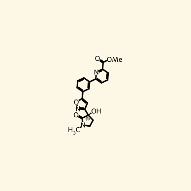 COC(=O)c1cccc(-c2cccc(-c3cc([C@]4(O)CCN(C)C4=O)no3)c2)n1